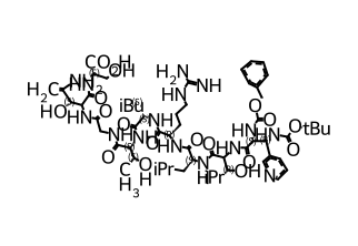 C=C(N)[C@@H](O)C(NC(=O)CNC(=O)[C@@H](NC(=O)[C@@H](NC(=O)[C@@H](CCCNC(=N)N)NC(=O)[C@H](CC(C)C)NC(=O)C(NC(=O)[C@@H](NC(=O)OCc1ccccc1)[C@H](NC(=O)OC(C)(C)C)c1cccnc1)[C@H](O)C(C)C)[C@@H](C)CC)[C@H](C)O)C(=O)N[C@@H](CO)C(=O)O